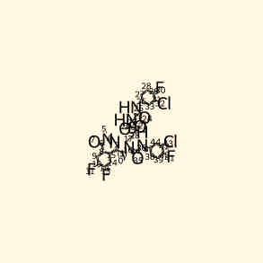 C[C@@H](c1nn(C)c(=O)c2cc(F)c(F)cc12)N(CCS(=O)(=O)NC(=O)Nc1ccc(F)c(Cl)c1)C(=O)Nc1ccc(F)c(Cl)c1